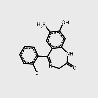 Bc1cc2c(cc1O)NC(=O)CN=C2c1ccccc1Cl